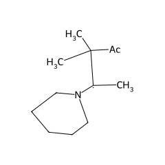 C[C](N1CCCCC1)C(C)(C)C(C)=O